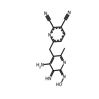 CC1=N/C(=N/O)C(=N)C(N)=C1Cc1ccc(C#N)c(C#N)n1